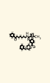 Cc1nnc2c(NCCCCCCC(=O)c3ccccc3)nc3cc(C(=O)N4CCN(Cc5ccccc5)CC4)ccc3n12